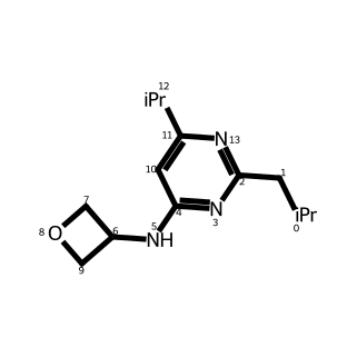 CC(C)Cc1nc(NC2COC2)cc(C(C)C)n1